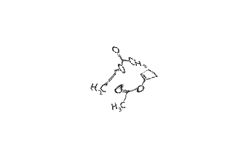 C=COC(C)=O.CC(=O)OC1=CCC1